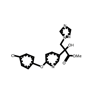 COC(=O)C(O)(Cn1cncn1)c1ccc(Oc2ccc(Cl)cc2)nc1